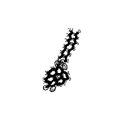 CCCCCCCCCCCSOc1c(OSCCCCCCCCCCC)c2ccc3ccc4c(=O)c(=O)c5ccc6ccc1c1c6c5c4c3c21